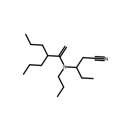 C=C(C(CCC)CCC)N(CCC)C(CC)CC#N